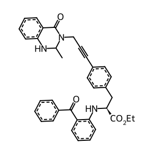 CCOC(=O)[C@H](Cc1ccc(C#CCN2C(=O)c3ccccc3NC2C)cc1)Nc1ccccc1C(=O)c1ccccc1